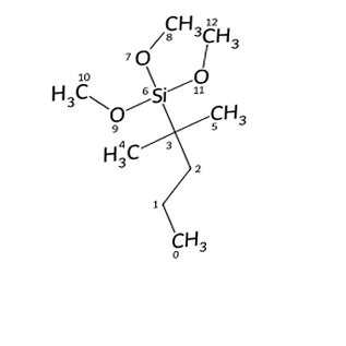 CCCC(C)(C)[Si](OC)(OC)OC